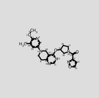 COc1ncc(N2CCc3ncnc(OC4CCN(C(=O)c5c[c]on5)C4)c3C2)cc1C